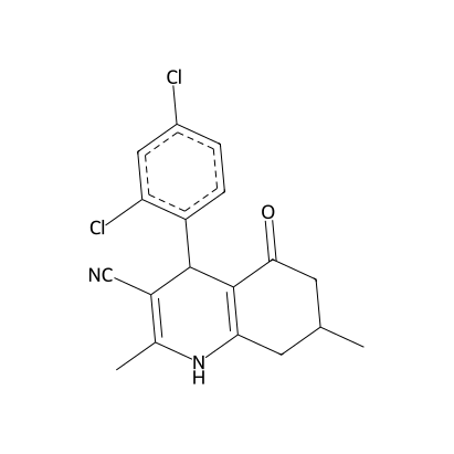 CC1=C(C#N)C(c2ccc(Cl)cc2Cl)C2=C(CC(C)CC2=O)N1